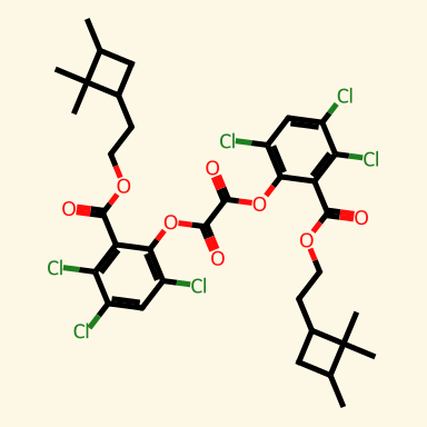 CC1CC(CCOC(=O)c2c(Cl)c(Cl)cc(Cl)c2OC(=O)C(=O)Oc2c(Cl)cc(Cl)c(Cl)c2C(=O)OCCC2CC(C)C2(C)C)C1(C)C